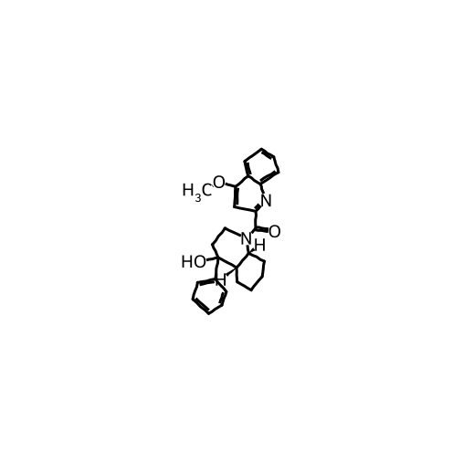 COc1cc(C(=O)N2CCC(O)(c3ccccc3)[C@H]3CCCC[C@H]32)nc2ccccc12